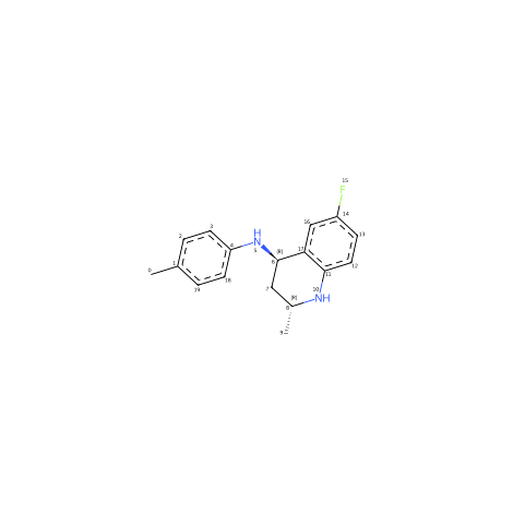 Cc1ccc(N[C@@H]2C[C@@H](C)Nc3ccc(F)cc32)cc1